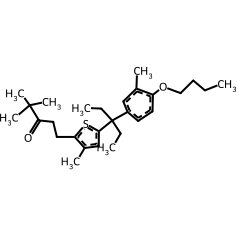 CCCCOc1ccc(C(CC)(CC)c2cc(C)c(CCC(=O)C(C)(C)C)s2)cc1C